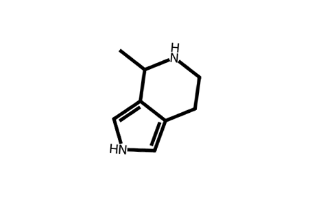 CC1NCCc2c[nH]cc21